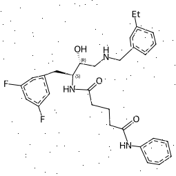 CCc1cccc(CNC[C@@H](O)[C@H](Cc2cc(F)cc(F)c2)NC(=O)CCCC(=O)Nc2ccccc2)c1